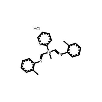 Cc1ccccc1N=[CH][Fe]([CH3])([CH]=Nc1ccccc1C)[c]1ccccn1.Cl